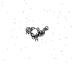 C=CC(=O)N1CCC(C(=O)N(C)[C@H](C(=O)N[C@H]2Cc3cccc(c3)-c3ccc4c(c3)c(c3n4CCO[C@@H](C)c4ncccc4-3)CC(C)(C)COC(=O)[C@@H]3CCCN(N3)C2=O)C(C)C)C1